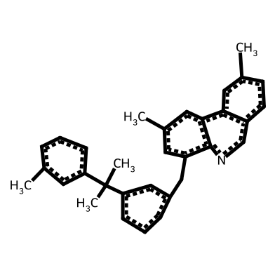 Cc1cccc(C(C)(C)c2cccc(Cc3cc(C)cc4c3ncc3ccc(C)cc34)c2)c1